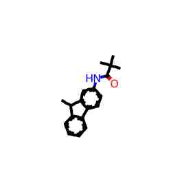 CC1c2ccccc2-c2ccc(NC(=O)C(C)(C)C)cc21